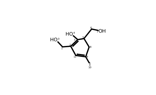 OCC1=C(O)C(CO)CC(I)=C1